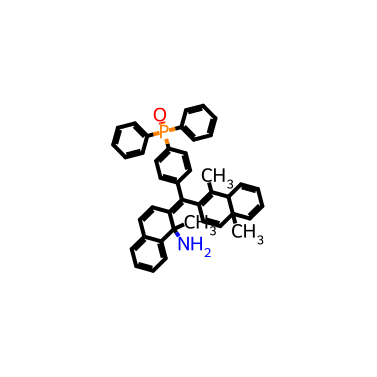 CC1=C(/C(=C2/C=Cc3ccccc3C2(C)N)c2ccc(P(=O)(c3ccccc3)c3ccccc3)cc2)C=CC2(C)C=CC=CC12